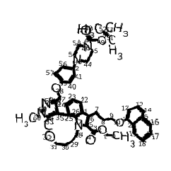 CCOC(=O)c1c(CCCOc2cccc3ccccc23)c2cccc3c2n1CCCCOCc1c-3c(COc2ccc(N3CCN(C(=O)OC(C)(C)C)CC3)cc2)nn1C